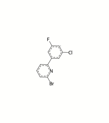 Fc1[c]c(Cl)cc(-c2cccc(Br)n2)c1